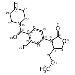 COCC1COC(=O)N1c1ccc(C(=O)N2CCNCC2)c(F)c1